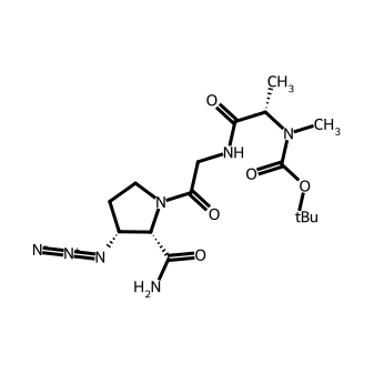 C[C@@H](C(=O)NCC(=O)N1CC[C@@H](N=[N+]=[N-])[C@H]1C(N)=O)N(C)C(=O)OC(C)(C)C